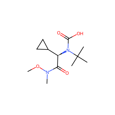 CON(C)C(=O)[C@@H](C1CC1)N(C(=O)O)C(C)(C)C